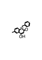 Cc1ccc2c(c1)c(O)cc(=O)n2Cc1ccccc1